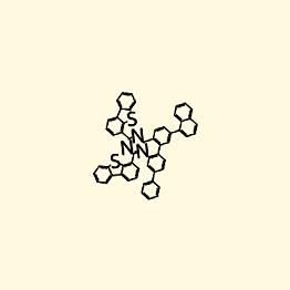 c1ccc(-c2ccc(-c3cc(-c4cccc5ccccc45)ccc3-c3nc(-c4cccc5c4sc4ccccc45)nc(-c4cccc5c4sc4ccccc45)n3)cc2)cc1